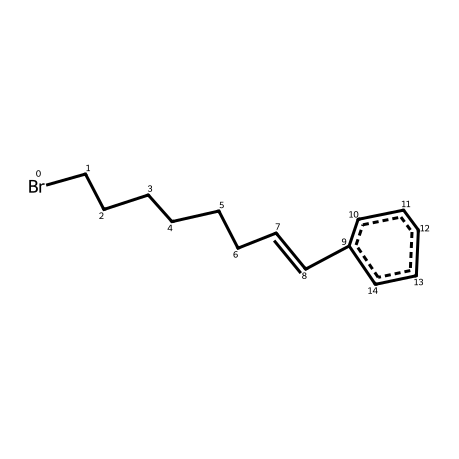 BrCCCCCCC=Cc1ccccc1